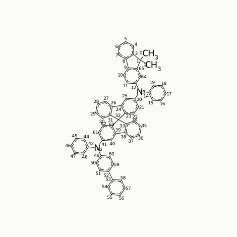 CC1(C)c2ccccc2-c2ccc(N(c3ccccc3)c3ccc4c(c3)-c3ccccc3C43c4ccccc4-c4cc(N(c5ccccc5)c5ccc(-c6ccccc6)cc5)ccc43)cc21